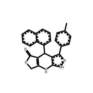 Cc1ccc(-c2n[nH]c3c2C(c2cccc4ccccc24)C2=C(COC2=O)N3)cc1